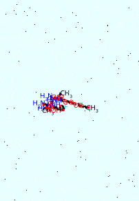 CCCCOCCOCCOCCOCCC(=O)N[C@@H](CCCC)C(=O)N[C@@H](CCN)C(=O)N[C@H](C(=O)NC(CCN)C(=O)NC)[C@H](O)CCc1ccc(F)cc1